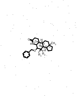 CC1(C)C(OCc2ccccc2)C2NC(=O)CC[C@]2(C)[C@@H]2CC[C@]3(C)CCC[C@H]3[C@@H]21